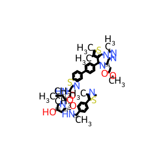 COC(=O)C[C@@H]1N=C(c2ccc(-c3ccc4sc(C(=O)N[C@H](C(=O)N5C[C@H](O)C[C@H]5C(=O)N[C@@H](C)c5ccc(-c6scnc6C)cc5)C(C)(C)C)nc4c3)cc2)c2c(sc(C)c2C)-n2c(C)nnc21